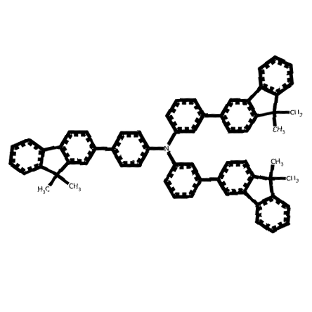 CC1(C)c2ccccc2-c2cc(-c3cccc(N(c4ccc(-c5ccc6c(c5)C(C)(C)c5ccccc5-6)cc4)c4cccc(-c5ccc6c(c5)-c5ccccc5C6(C)C)c4)c3)ccc21